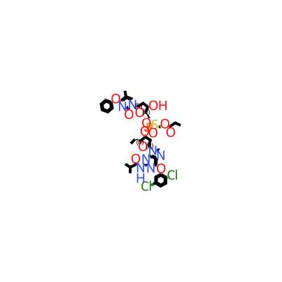 CCC(=O)OCSP(=O)(OC[C@H]1O[C@@H](n2cc(C)c(Oc3ccccc3)nc2=O)CC1O)OC1C[C@H](n2cnc3c(Oc4cc(Cl)ccc4Cl)nc(NC(=O)C(C)C)nc32)O[C@@H]1CC